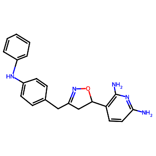 Nc1ccc(C2CC(Cc3ccc(Nc4ccccc4)cc3)=NO2)c(N)n1